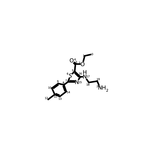 CCOC(=O)c1sc(-c2ccc(C)cc2)nc1NCCN